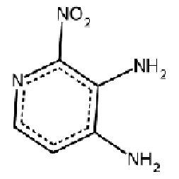 Nc1ccnc([N+](=O)[O-])c1N